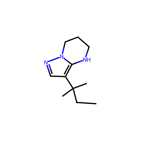 CCC(C)(C)c1cnn2c1NCCC2